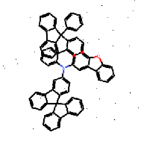 c1ccc(C2(c3ccccc3-c3ccccc3N(c3ccc4c(c3)-c3ccccc3C43c4ccccc4-c4ccccc43)c3ccc4oc5ccccc5c4c3)c3ccccc3-c3ccccc32)cc1